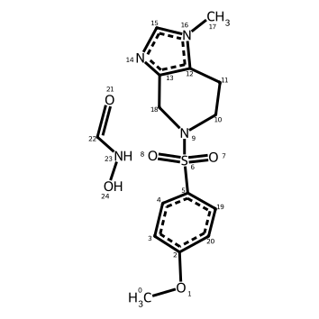 COc1ccc(S(=O)(=O)N2CCc3c(ncn3C)C2)cc1.O=CNO